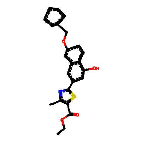 CCOC(=O)c1sc(-c2cc(O)c3ccc(OCc4ccccc4)cc3c2)nc1C